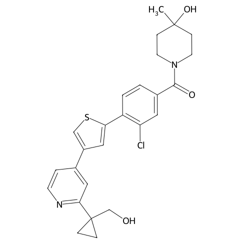 CC1(O)CCN(C(=O)c2ccc(-c3cc(-c4ccnc(C5(CO)CC5)c4)cs3)c(Cl)c2)CC1